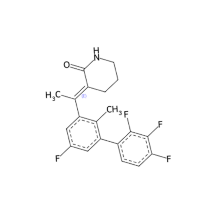 C/C(=C1/CCCNC1=O)c1cc(F)cc(-c2ccc(F)c(F)c2F)c1C